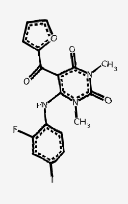 Cn1c(Nc2ccc(I)cc2F)c(C(=O)c2ccco2)c(=O)n(C)c1=O